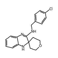 Clc1ccc(CNC2=Nc3ccccc3NC23CCOCC3)cc1